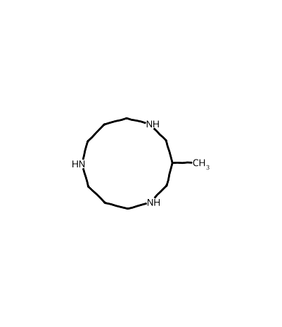 CC1CNCCCNCCCNC1